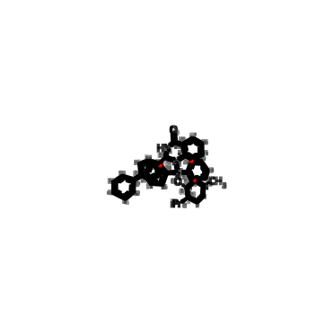 CC(C)[C@@H]1CC[C@@H](C)C[C@H]1O[Si](c1ccccc1)(c1ccccc1)N1c2ccccc2C(=O)N[C@@H]1c1ccc(-c2ccccc2)cc1